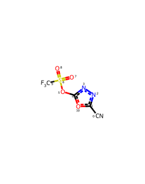 N#Cc1nnc(OS(=O)(=O)C(F)(F)F)o1